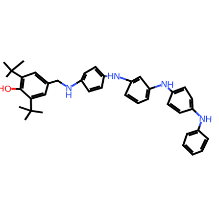 CC(C)(C)c1cc(CNc2ccc(Nc3cccc(Nc4ccc(Nc5ccccc5)cc4)c3)cc2)cc(C(C)(C)C)c1O